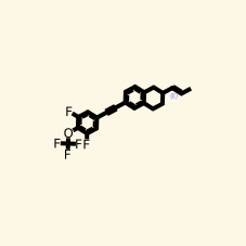 C/C=C/C1CCc2cc(C#Cc3cc(F)c(OC(F)(F)F)c(F)c3)ccc2C1